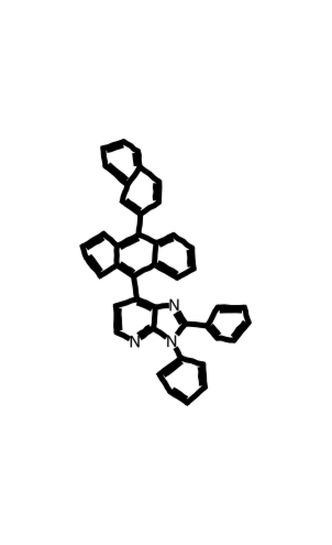 c1ccc(-c2nc3c(-c4c5ccccc5c(-c5ccc6ccccc6c5)c5ccccc45)ccnc3n2-c2ccccc2)cc1